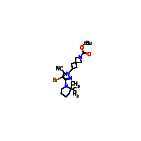 CC(C)(C)OC(=O)N1CC2(CC(n3nc(N4CCCCC4(C)C)c(Br)c3C#N)C2)C1